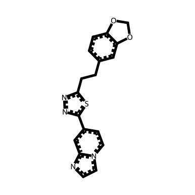 c1cn2ccc(-c3nnc(CCc4ccc5c(c4)OCO5)s3)cc2n1